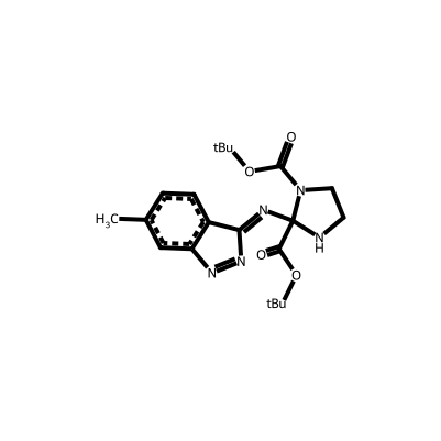 Cc1ccc2c(c1)N=NC2=NC1(C(=O)OC(C)(C)C)NCCN1C(=O)OC(C)(C)C